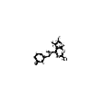 CCc1nc(NCc2cccc(C)c2)c2c(C)c(C)sc2n1